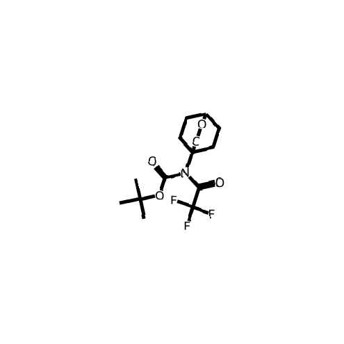 CC(C)(C)OC(=O)N(C(=O)C(F)(F)F)C12CCC(CC1)OC2